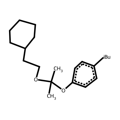 CCC(C)c1ccc(OC(C)(C)OCCC2CCCCC2)cc1